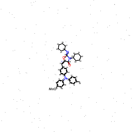 COc1ccc(N(c2ccc(C)cc2)c2ccc(/C=C3/OC(=NC4CCCCC4)N(C4CCCCC4)C3=O)cc2)cc1